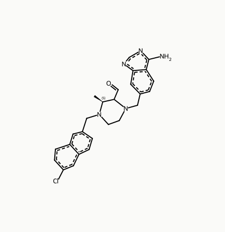 C[C@H]1C(C=O)N(Cc2ccc3c(N)ncnc3c2)CCN1Cc1ccc2cc(Cl)ccc2c1